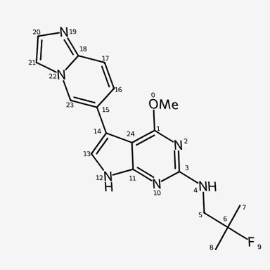 COc1nc(NCC(C)(C)F)nc2[nH]cc(-c3ccc4nccn4c3)c12